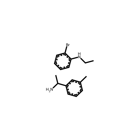 CCNc1ccccc1Br.Cc1cccc(C(C)N)c1